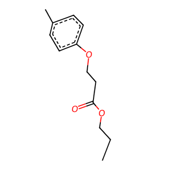 CCCOC(=O)CCOc1ccc(C)cc1